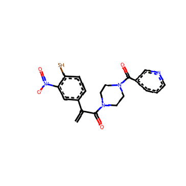 C=C(C(=O)N1CCN(C(=O)c2cccnc2)CC1)c1ccc(S)c([N+](=O)[O-])c1